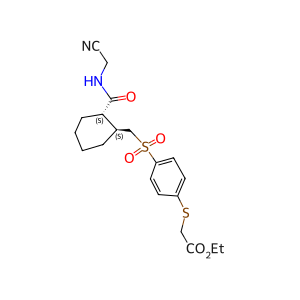 CCOC(=O)CSc1ccc(S(=O)(=O)C[C@H]2CCCC[C@@H]2C(=O)NCC#N)cc1